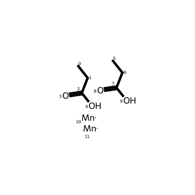 CCC(=O)O.CCC(=O)O.[Mn].[Mn]